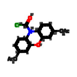 CC(=O)Oc1ccc2c(c1)Oc1cc(OC(C)=O)ccc1N2C(=O)Cl